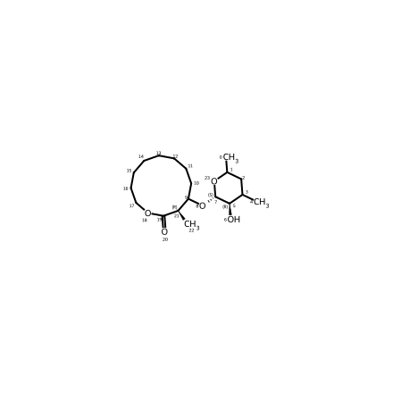 CC1CC(C)[C@@H](O)[C@H](OC2CCCCCCCCOC(=O)[C@@H]2C)O1